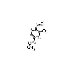 COCC1=CC=C(C=O)C(=O)C1